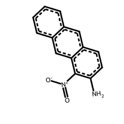 Nc1ccc2cc3ccccc3cc2c1[N+](=O)[O-]